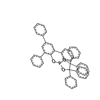 c1ccc(-c2cc(-c3ccccc3)c(OP3OC(c4ccccc4)(c4ccccc4)C(c4ccccc4)(c4ccccc4)O3)c(-c3ccccc3)c2)cc1